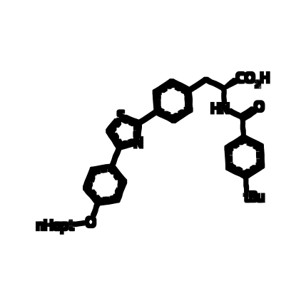 CCCCCCCOc1ccc(-c2csc(-c3ccc(C[C@H](NC(=O)c4ccc(C(C)(C)C)cc4)C(=O)O)cc3)n2)cc1